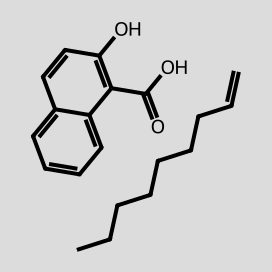 C=CCCCCCCC.O=C(O)c1c(O)ccc2ccccc12